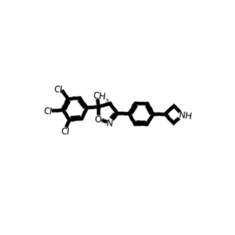 CC1(c2cc(Cl)c(Cl)c(Cl)c2)CC(c2ccc(C3CNC3)cc2)=NO1